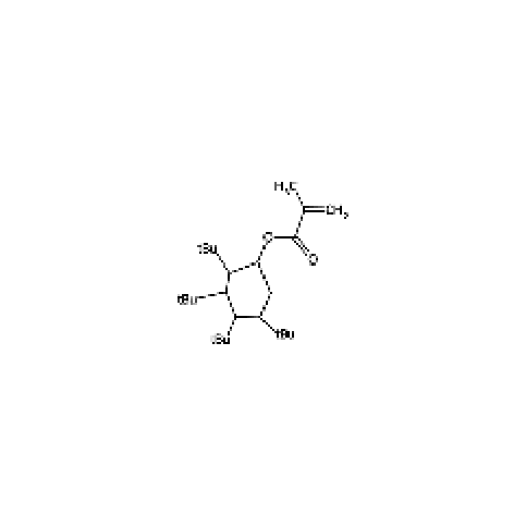 C=C(C)C(=O)OC1CC(C(C)(C)C)C(C(C)(C)C)C(C(C)(C)C)C1C(C)(C)C